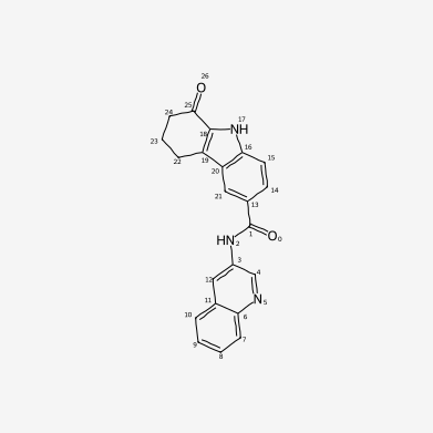 O=C(Nc1cnc2ccccc2c1)c1ccc2[nH]c3c(c2c1)CCCC3=O